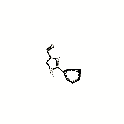 O=CC1CNC(c2ccccc2)=N1